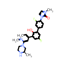 C=N/C(=C\C(=C/C)c1cc(F)cc(-c2ccc(-n3ccn(C)c3=O)c(F)c2)c1O)N1CCN[C@H](C)C1